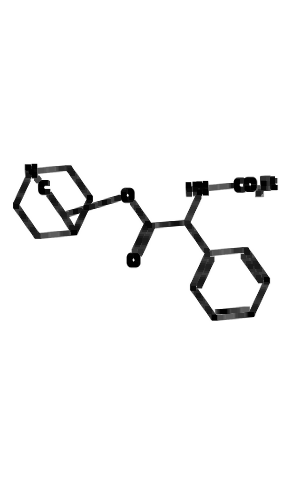 CCOC(=O)NC(C(=O)OC1CN2CCC1CC2)c1ccccc1